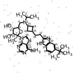 CC(C)N(CC1O[C@](C)(n2cnc3c(N)ncnc32)[C@H](O)[C@@H]1O)C1CC(CCc2nc3cc(C(C)(C)C)ccc3[nH]2)C1